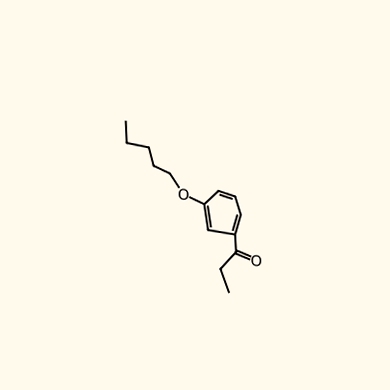 CCCCCOc1cccc(C(=O)CC)c1